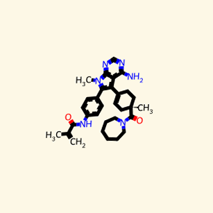 C=C(C)C(=O)Nc1ccc(-c2c(C3=CC[C@](C)(C(=O)N4CCCCCC4)CC3)c3c(N)ncnc3n2C)cc1